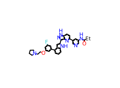 CCC(=O)Nc1cncc(-c2ccc3[nH]nc(-c4cc5c(-c6cc(F)cc(OCCN7CCCC7)c6)cccc5[nH]4)c3n2)c1